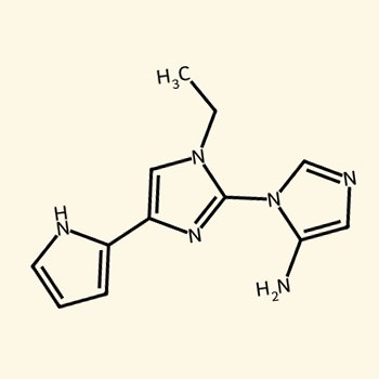 CCn1cc(-c2ccc[nH]2)nc1-n1cncc1N